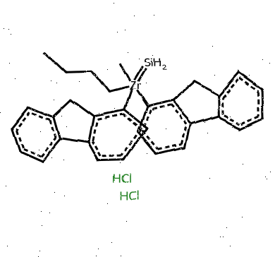 CCC[CH2][Zr]([CH3])(=[SiH2])([c]1cccc2c1Cc1ccccc1-2)[c]1cccc2c1Cc1ccccc1-2.Cl.Cl